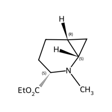 CCOC(=O)[C@@H]1CC[C@@H]2C[C@@H]2N1C